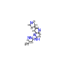 CC(C)c1cnnc(Nc2ccc3ncc(-c4c[c]ncc4)cc3n2)c1